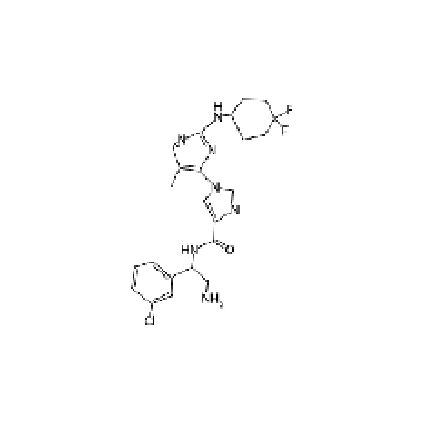 Cc1cnc(NC2CCC(F)(F)CC2)nc1-n1cnc(C(=O)NC(CN)c2cccc(Cl)c2)c1